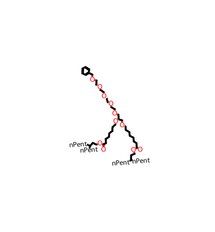 CCCCCC(CCCCC)CCOC(=O)CCCCCCCOCC(COCCOCCOCCOCCOCc1ccccc1)OCCCCCCCC(=O)OCCC(CCCCC)CCCCC